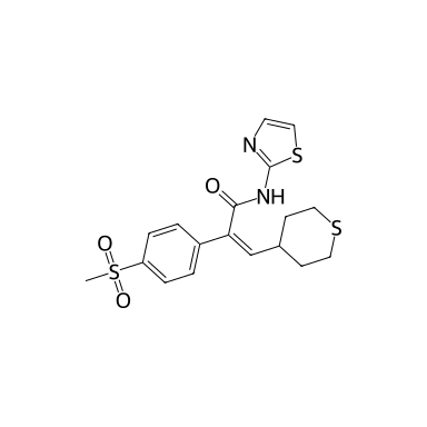 CS(=O)(=O)c1ccc(C(=CC2CCSCC2)C(=O)Nc2nccs2)cc1